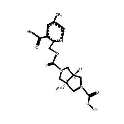 CO[C@]12CN(C(=O)OCc3ncc(C(F)(F)F)cc3C(=O)C(C)(C)C)C[C@@H]1CN(C(=O)OC(C)(C)C)C2